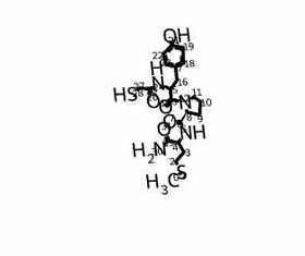 CSCCC(NC(=O)[C@@H]1CCCN1C(=O)C(Cc1ccc(O)cc1)NC(=O)CS)C(N)=O